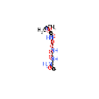 C=C1CCC(=C)N1OC(=O)c1ccc(C(=O)NCCOCCOCCNC(=O)CCCC(=O)NCCCCC(C(N)=O)c2ccccc2)cc1